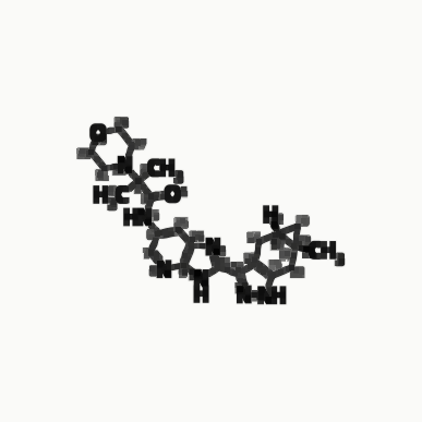 CC(C)(C(=O)Nc1cnc2[nH]c(-c3n[nH]c4c3C[C@@H]3C[C@]3(C)C4)nc2c1)N1CCOCC1